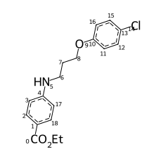 CCOC(=O)c1ccc(NCCCOc2ccc(Cl)cc2)cc1